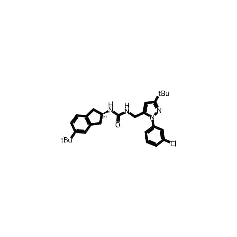 CC(C)(C)c1ccc2c(c1)C[C@H](NC(=O)NCc1cc(C(C)(C)C)nn1-c1cccc(Cl)c1)C2